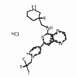 Cl.FC(F)(F)Cn1cc(-c2cc3nccnc3c(NCC3(F)CCCNC3)n2)cn1